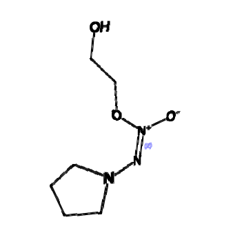 [O-]/[N+](=N/N1CCCC1)OCCO